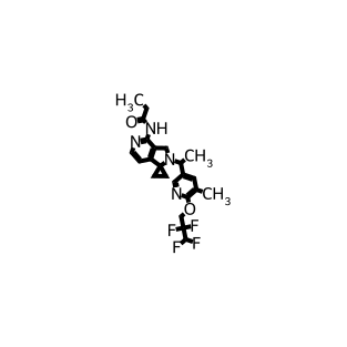 CCC(=O)Nc1nccc2c1CN(C(C)c1cnc(OCC(F)(F)C(F)F)c(C)c1)C21CC1